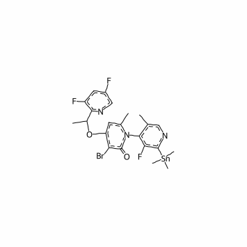 Cc1cn[c]([Sn]([CH3])([CH3])[CH3])c(F)c1-n1c(C)cc(OC(C)c2ncc(F)cc2F)c(Br)c1=O